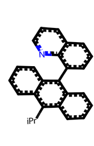 CC(C)c1c2ccccc2c(-c2cccc3cccnc23)c2ccccc12